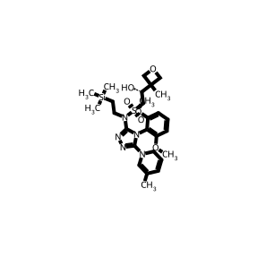 COc1cccc(OC)c1-n1c(N2C=C(C)C=CC2)nnc1N(CC[Si](C)(C)C)S(=O)(=O)C[C@H](O)C1(C)COC1